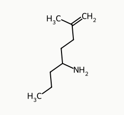 C=C(C)CCC(N)CCC